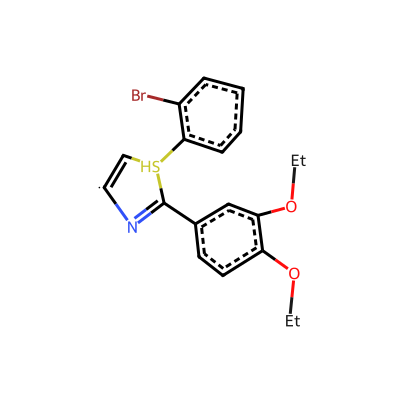 CCOc1ccc(C2=N[C]=C[SH]2c2ccccc2Br)cc1OCC